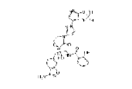 [2H]C([2H])([2H])Oc1cc(-n2ccc(N3CCO[C@H]([C@](O)(CNC(=O)c4ccccc4O)Cc4ccc5c(N)noc5c4)C3=O)n2)cnn1